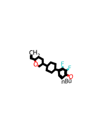 C=CC1CCC(C2CCC(c3ccc(OCCCC)c(F)c3F)CC2)CO1